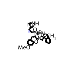 CCCCOC1(c2ccccc2C)CN(C(=O)[C@@H](Cc2ccc(OC)cc2)NC(=O)/C=C\c2c[nH]cn2)C1